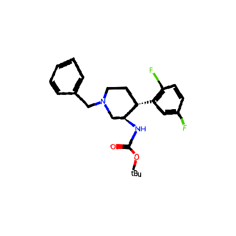 CC(C)(C)OC(=O)N[C@H]1CN(Cc2ccccc2)CC[C@@H]1c1cc(F)ccc1F